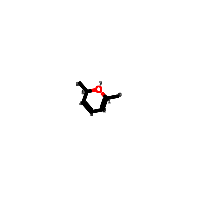 CC1=CC=CC(C)O1